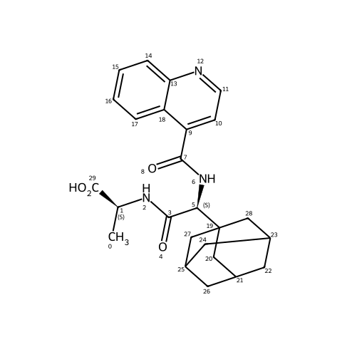 C[C@H](NC(=O)[C@@H](NC(=O)c1ccnc2ccccc12)C12CC3CC(CC(C3)C1)C2)C(=O)O